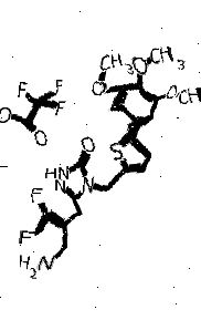 COc1cc(-c2ccc(Cn3c(CC(CN)=C(F)F)n[nH]c3=O)s2)cc(OC)c1OC.O=C(O)C(F)(F)F